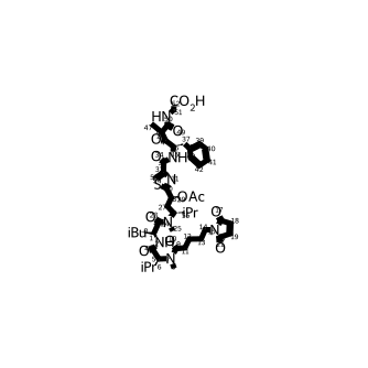 CC[C@H](C)[C@H](NC(=O)[C@@H](C(C)C)N(C)C(=O)CCCCN1C(=O)C=CC1=O)C(=O)N(C)[C@H](C[C@@H](OC(C)=O)c1nc(C(=O)N[C@@H](Cc2ccccc2)C2OC2(C)C(=O)NCC(=O)O)cs1)C(C)C